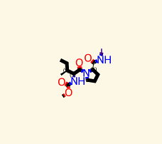 CC[C@H](C)[C@H](NC(=O)OC)C(=O)N1CCC[C@H]1C(=O)NI